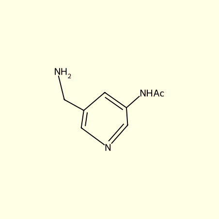 CC(=O)Nc1cncc(CN)c1